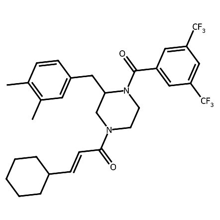 Cc1ccc(CC2CN(C(=O)C=CC3CCCCC3)CCN2C(=O)c2cc(C(F)(F)F)cc(C(F)(F)F)c2)cc1C